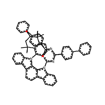 CC1CC(C)(C)c2c(-n3c4ccccc4c4ccc5c6ccccc6n(-c6nc(-c7ccc(-c8ccccc8)cc7)nc(-c7ccc(-c8ccccc8)cc7)n6)c5c43)cccc2C1(C)C